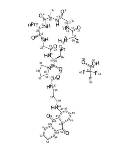 CCC[C@H](NC(=O)[C@H](C)NC(=O)[C@H](C)NC(=O)[C@@H](C)N)C(=O)NCC(=O)N[C@@H](CC(C)C)C(=O)N1CCC[C@H]1C(=O)NCCCNc1cccc2c1C(=O)c1ccccc1C2=O.O=C(O)C(F)(F)F